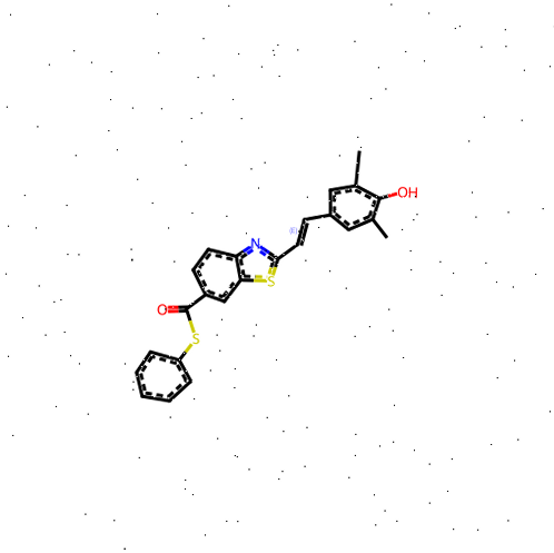 Cc1cc(/C=C/c2nc3ccc(C(=O)Sc4ccccc4)cc3s2)cc(C)c1O